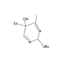 CCCCC1N=CC(O)(CC)C(C)=N1